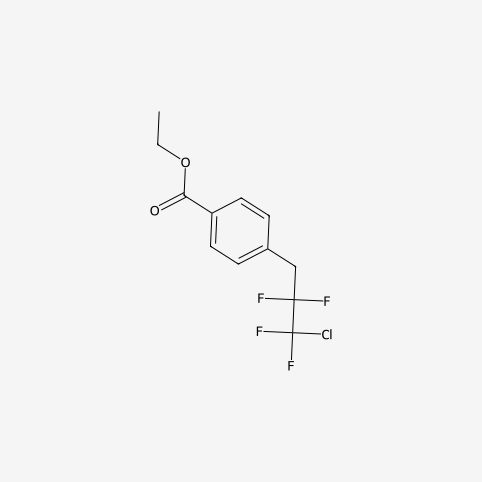 CCOC(=O)c1ccc(CC(F)(F)C(F)(F)Cl)cc1